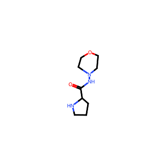 O=C(NN1CCOCC1)C1CCCN1